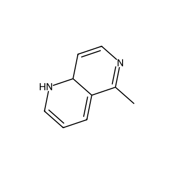 CC1=NC=CC2NC=CC=C12